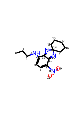 CCCNc1ccc([N+](=O)[O-])c2c1=NC1(CCCCC1)N=2